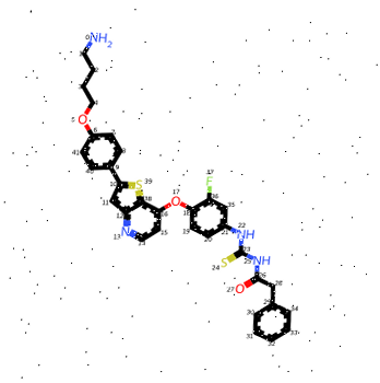 NCCCCOc1ccc(-c2cc3nccc(Oc4ccc(NC(=S)NC(=O)Cc5ccccc5)cc4F)c3s2)cc1